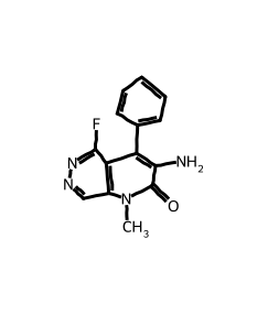 Cn1c(=O)c(N)c(-c2ccccc2)c2c(F)nncc21